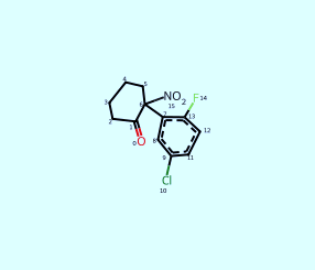 O=C1CCCCC1(c1cc(Cl)ccc1F)[N+](=O)[O-]